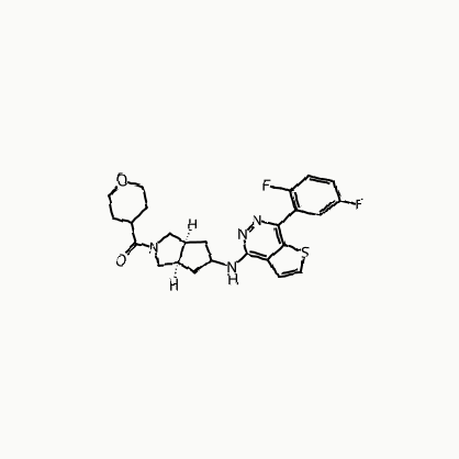 O=C(C1CCOCC1)N1C[C@H]2CC(Nc3nnc(-c4cc(F)ccc4F)c4sccc34)C[C@H]2C1